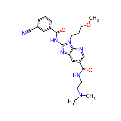 COCCCn1c(NC(=O)c2cccc(C#N)c2)nc2cc(C(=O)NCCN(C)C)cnc21